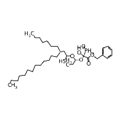 CCCCCCCCCCCCCC(CCCCCCC)CC(S)OC(CC)OC(O)([PH2]=O)C(=O)OCc1ccccc1